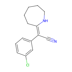 N#C/C(=C1/CCCCCN1)c1cccc(Cl)c1